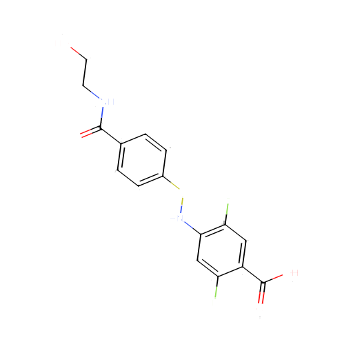 O=C(NCCO)c1ccc(SNc2cc(F)c(C(=O)O)cc2F)cc1